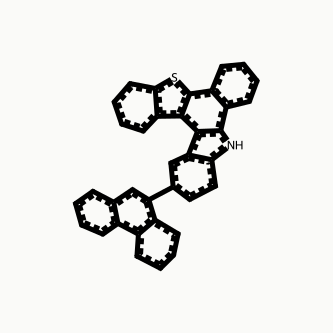 c1ccc2c(c1)cc(-c1ccc3[nH]c4c5ccccc5c5sc6ccccc6c5c4c3c1)c1ccccc12